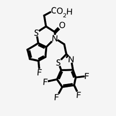 O=C(O)CC1Sc2ccc(F)cc2N(Cc2nc3c(F)c(F)c(F)c(F)c3s2)C1=O